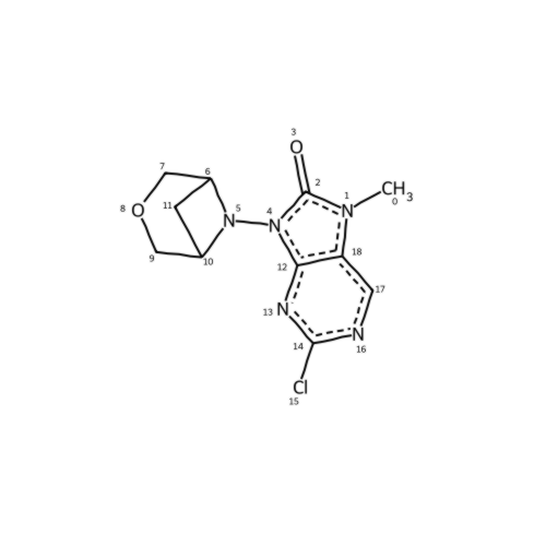 Cn1c(=O)n(N2C3COCC2C3)c2nc(Cl)ncc21